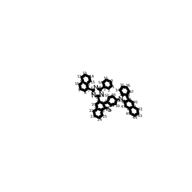 c1ccc(-c2nc(-c3cccc4ccccc34)nc(-c3cc4ccccc4c4sc5cc(-n6c7ccccc7c7cc8ccccc8cc76)ccc5c34)n2)cc1